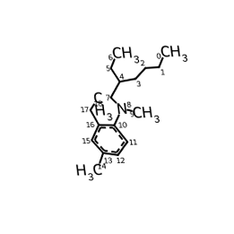 CCCCC(CC)CN(C)c1ccc(C)cc1CC